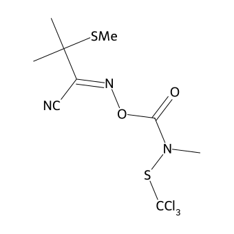 CSC(C)(C)C(C#N)=NOC(=O)N(C)SC(Cl)(Cl)Cl